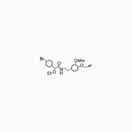 C#CCOc1ccc(CCNC(=O)C(OCC)c2ccc(Br)cc2)cc1OC